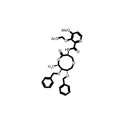 COc1ccnc(C(=O)N[C@H]2COC[C@H](OCc3ccccc3)[C@@H](OCc3ccccc3)[C@@H](C)OC2=O)c1OCOC(C)=O